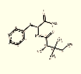 COC(=O)[C@H](Cc1ccccc1)NC(=O)[C@H](O)C(C)(C)CO